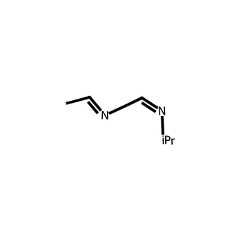 C/C=N/C=N\C(C)C